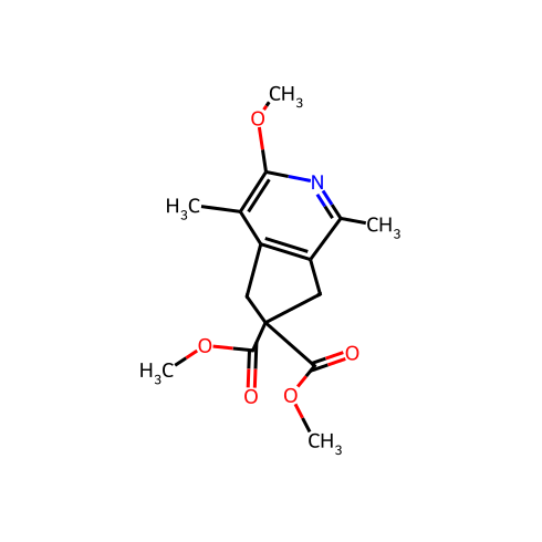 COC(=O)C1(C(=O)OC)Cc2c(C)nc(OC)c(C)c2C1